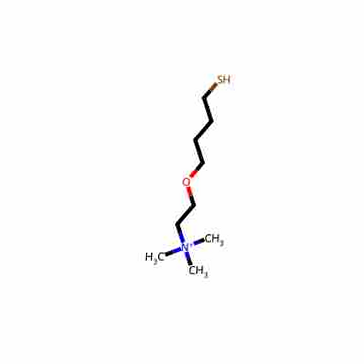 C[N+](C)(C)CCOCCCCS